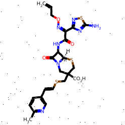 C=CCON=C(C(=O)NC1C(=O)N2CC(CSC=Cc3ccc(C)nc3)(C(=O)O)CS[C@H]12)c1nsc(N)n1